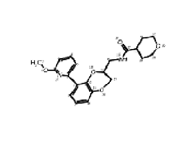 COc1cccc(-c2cccc3c2OC(CNC(=O)C2CCOCC2)CO3)n1